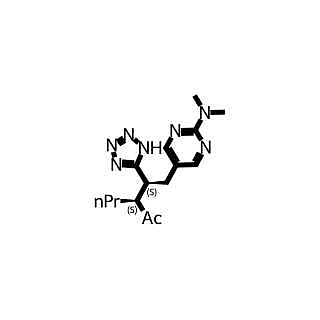 CCC[C@H](C(C)=O)[C@H](Cc1cnc(N(C)C)nc1)c1nnn[nH]1